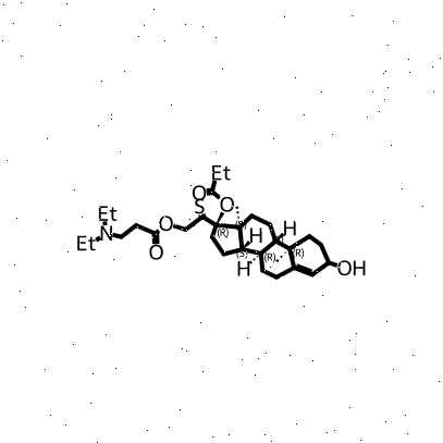 CCC(=O)O[C@]1(C(=S)COC(=O)CCN(CC)CC)CC[C@H]2[C@@H]3CCC4=CC(O)CC[C@]4(C)[C@H]3CC[C@@]21C